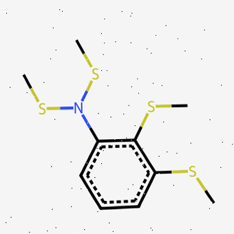 CSc1cccc(N(SC)SC)c1SC